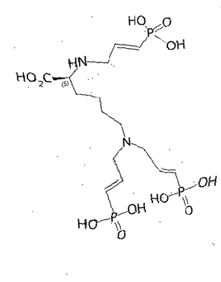 O=C(O)[C@H](CCCCN(CC=CP(=O)(O)O)CC=CP(=O)(O)O)NCC=CP(=O)(O)O